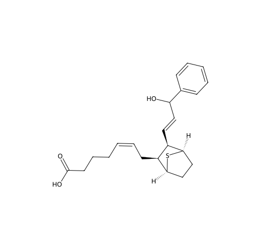 O=C(O)CCC/C=C\C[C@H]1[C@@H](/C=C/C(O)c2ccccc2)[C@H]2CC[C@@H]1S2